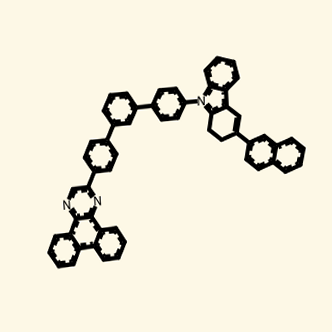 C1=C(c2ccc3ccccc3c2)CCc2c1c1ccccc1n2-c1ccc(-c2cccc(-c3ccc(-c4cnc5c6ccccc6c6ccccc6c5n4)cc3)c2)cc1